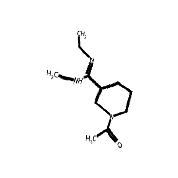 CC/N=C(\NC)C1CCCN(C(C)=O)C1